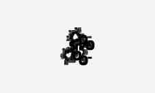 O=C([O-])CCC(=O)[O-].c1cc[c]([Sn+2][c]2ccccc2)cc1